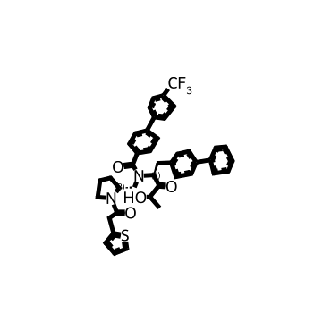 CC(O)C(=O)[C@H](Cc1ccc(-c2ccccc2)cc1)N(C[C@H]1CCCN1C(=O)Cc1cccs1)C(=O)c1ccc(-c2ccc(C(F)(F)F)cc2)cc1